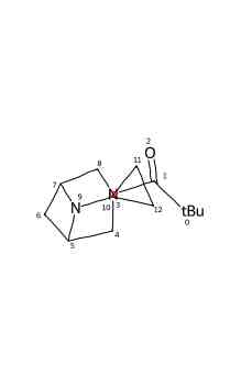 CC(C)(C)C(=O)N1CC2CC(C1)N2C1CC1